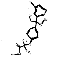 CCSC(SCC)(c1ccc(OC(C)(C)C(=O)OC(C)C)cc1)c1cccc(Cl)c1